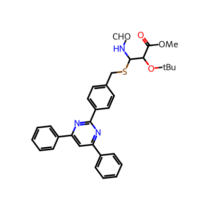 COC(=O)C(OC(C)(C)C)C(NC=O)SCc1ccc(-c2nc(-c3ccccc3)cc(-c3ccccc3)n2)cc1